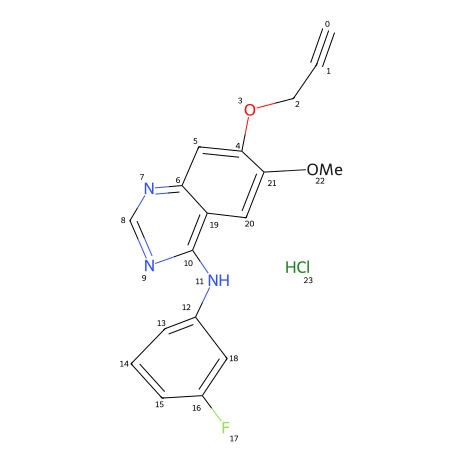 C#CCOc1cc2ncnc(Nc3cccc(F)c3)c2cc1OC.Cl